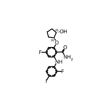 NC(=O)c1c(Nc2ccc(I)cc2F)cc(F)cc1O[C@H]1CCC[C@@H]1O